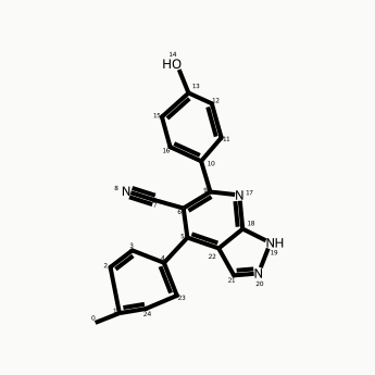 Cc1ccc(-c2c(C#N)c(-c3ccc(O)cc3)nc3[nH]ncc23)cc1